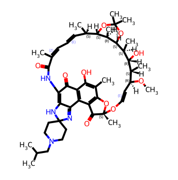 CO[C@H]1/C=C/O[C@@]2(C)Oc3c(C)c(O)c4c(c3C2=O)C2=NC3(CCN(CC(C)C)CC3)NC2=C(NC(=O)/C(C)=C\C=C\[C@H](C)[C@@H]2OC(C)(C)O[C@@H]([C@@H](C)[C@H](O)[C@@H]1C)[C@@H]2C)C4=O